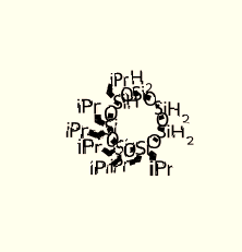 CC(C)C[SiH]1O[SiH2]O[SiH2]O[SiH2]O[Si](CC(C)C)(CC(C)C)O[Si](CC(C)C)(CC(C)C)O[Si](CC(C)C)(CC(C)C)O1